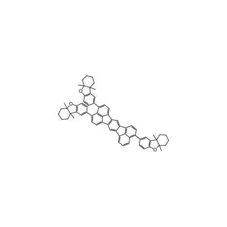 CC12CCCCC1(C)c1cc(-c3ccc4c5cc6c(cc5c5cccc3c54)c3ccc(-c4ccc5c(c4)C4(C)CCCCC4(C)O5)c4c(-c5ccc7c(c5)C5(C)CCCCC5(C)O7)ccc6c43)ccc1O2